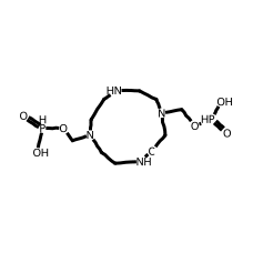 O=[PH](O)OCN1CCNCCN(CO[PH](=O)O)CCNCC1